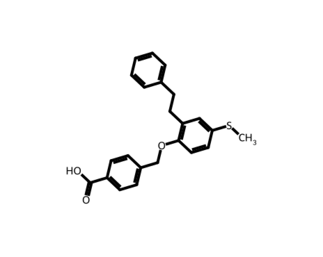 CSc1ccc(OCc2ccc(C(=O)O)cc2)c(CCc2ccccc2)c1